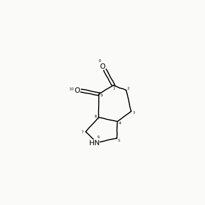 O=C1CCC2CNC[C]2C1=O